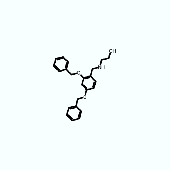 OCCNCc1ccc(OCc2ccccc2)cc1OCc1ccccc1